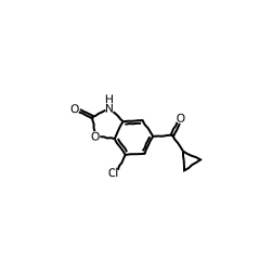 O=C(c1cc(Cl)c2oc(=O)[nH]c2c1)C1CC1